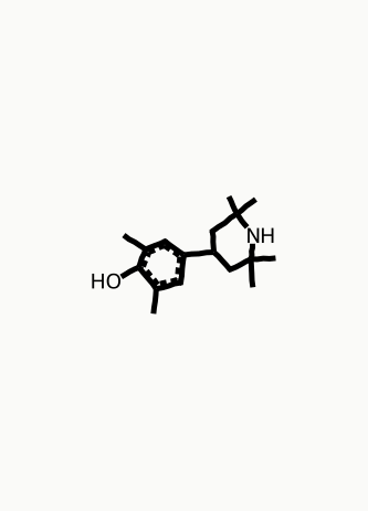 Cc1cc(C2CC(C)(C)NC(C)(C)C2)cc(C)c1O